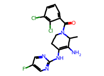 CC1C(N)=C(Nc2ncc(F)cn2)CCN1C(=O)c1cccc(Cl)c1Cl